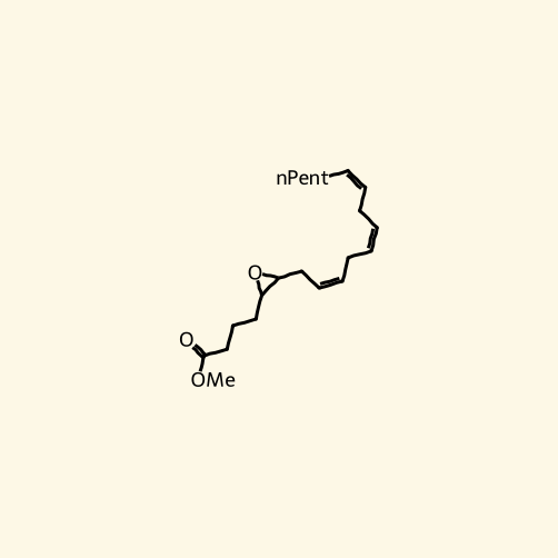 CCCCC/C=C\C/C=C\C/C=C\CC1OC1CCCC(=O)OC